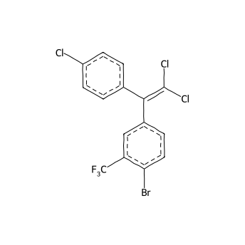 FC(F)(F)c1cc(C(=C(Cl)Cl)c2ccc(Cl)cc2)ccc1Br